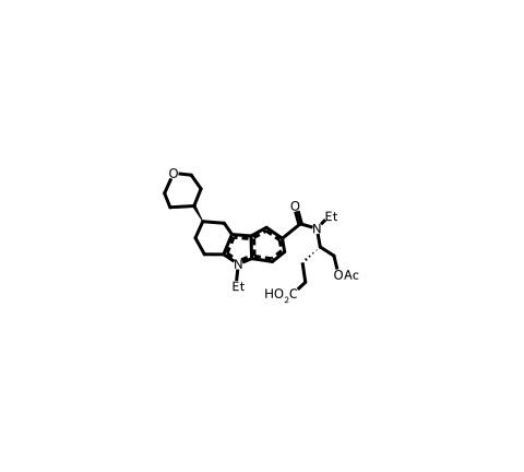 CCN(C(=O)c1ccc2c(c1)c1c(n2CC)CC[C@@H](C2CCOCC2)C1)[C@@H](CCC(=O)O)COC(C)=O